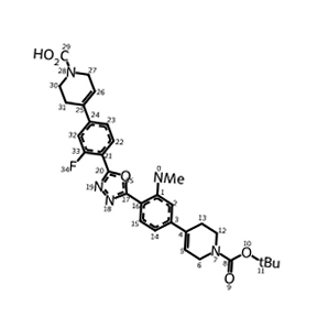 CNc1cc(C2=CCN(C(=O)OC(C)(C)C)CC2)ccc1-c1nnc(-c2ccc(C3=CCN(C(=O)O)CC3)cc2F)o1